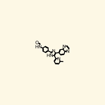 Cc1cccc(-c2[nH]c(-c3ccc(NC=O)cc3)nc2-c2ccc3nccnc3c2)n1